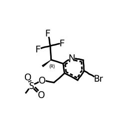 C[C@H](c1ncc(Br)cc1COS(C)(=O)=O)C(F)(F)F